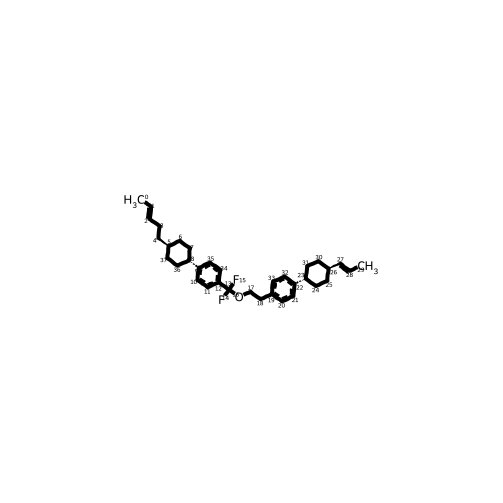 C/C=C/CC[C@H]1CC[C@H](c2ccc(C(F)(F)OCCc3ccc([C@H]4CC[C@H](/C=C/C)CC4)cc3)cc2)CC1